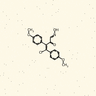 COc1ccc(C(Cl)=C(C(=O)C=NO)c2ccc(OC)cc2)cc1